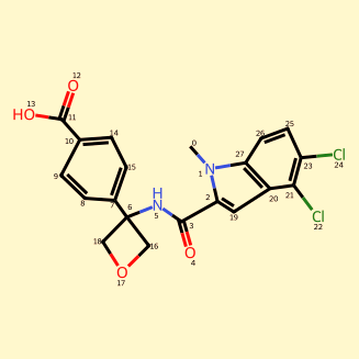 Cn1c(C(=O)NC2(c3ccc(C(=O)O)cc3)COC2)cc2c(Cl)c(Cl)ccc21